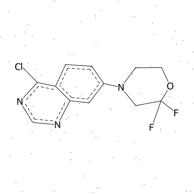 FC1(F)CN(c2ccc3c(Cl)ncnc3c2)CCO1